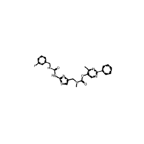 Cc1nc(-c2ccccc2)ncc1OC(=O)N(C)Cc1csc(NC(=O)NCc2cccc(F)c2)n1